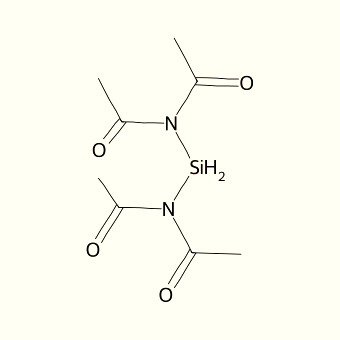 CC(=O)N([SiH2]N(C(C)=O)C(C)=O)C(C)=O